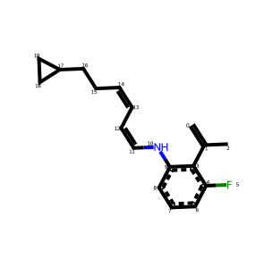 C=C(C)c1c(F)cccc1N/C=C\C=C/CCC1CC1